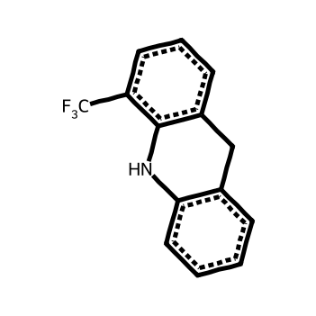 FC(F)(F)c1cccc2c1Nc1ccccc1C2